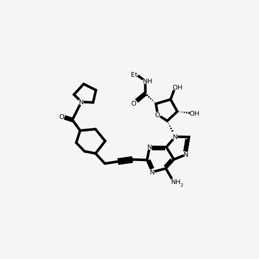 CCNC(=O)[C@H]1O[C@@H](n2cnc3c(N)nc(C#CCC4CCC(C(=O)N5CCCC5)CC4)nc32)[C@@H](O)C1O